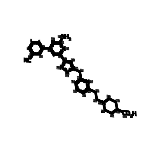 N#Cc1cccc(-c2cc(-c3cn(Cc4cccc(CCN5CCC(C(=O)O)CC5)n4)nn3)nc(N)n2)c1